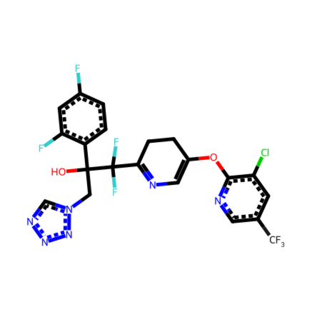 OC(Cn1cnnn1)(c1ccc(F)cc1F)C(F)(F)C1=NC=C(Oc2ncc(C(F)(F)F)cc2Cl)CC1